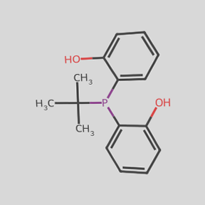 CC(C)(C)P(c1ccccc1O)c1ccccc1O